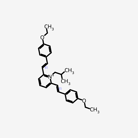 CCOc1ccc(/C=C/c2cccc(/C=C/c3ccc(OCC)cc3)[n+]2CC(C)C)cc1